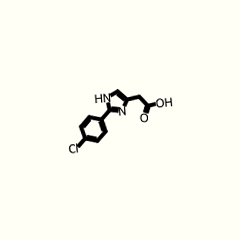 O=C(O)Cc1c[nH]c(-c2ccc(Cl)cc2)n1